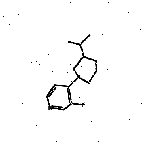 CC(C)C1CCCN(c2ccncc2F)C1